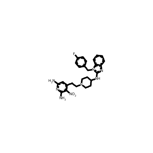 Nc1cc(CCN2CCC(Nc3nc4ccccc4n3Cc3ccc(F)cc3)CC2)c([N+](=O)[O-])c(N)n1